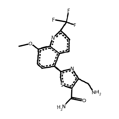 COc1ccc(-c2nc(CN)c(C(N)=O)s2)c2ccc(C(F)(F)F)nc12